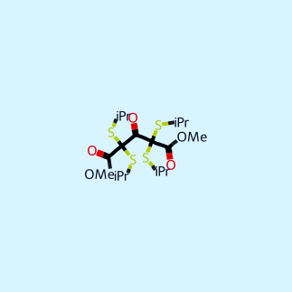 COC(=O)C(SC(C)C)(SC(C)C)C(=O)C(SC(C)C)(SC(C)C)C(=O)OC